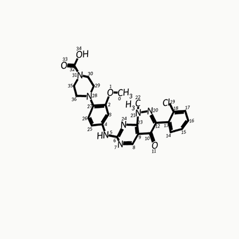 COc1cc(Nc2ncc3c(=O)c(-c4ccccc4Cl)nn(C)c3n2)ccc1N1CCN(C(=O)O)CC1